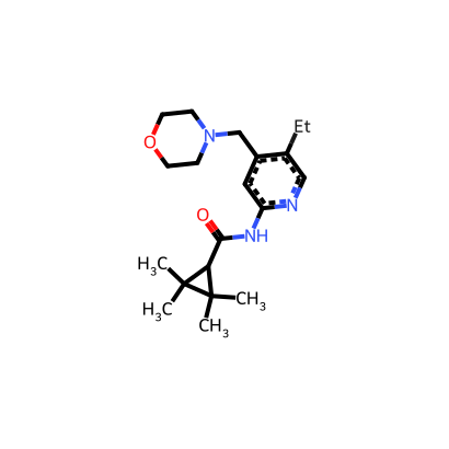 CCc1cnc(NC(=O)C2C(C)(C)C2(C)C)cc1CN1CCOCC1